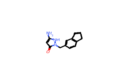 Nc1cc(=O)n(Cc2ccc3c(c2)CCC3)[nH]1